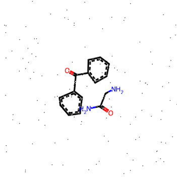 NCC(N)=O.O=C(c1ccccc1)c1ccccc1